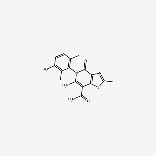 Cc1nc2c(=O)n(-c3c(C)ccc(O)c3C)c(N)c(C(N)=O)c2s1